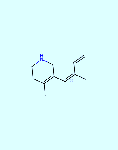 C=C/C(C)=C\C1=C(C)CCNC1